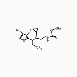 CC(C)(C)OC(=O)NCCN(C1CC1)C(CC(F)(F)F)c1scc(C#N)c1F